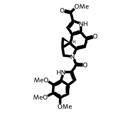 COC(=O)c1cc2c([nH]1)C(=O)C=C1N(C(=O)c3cc4cc(OC)c(OC)c(OC)c4[nH]3)CC3C[C@]123